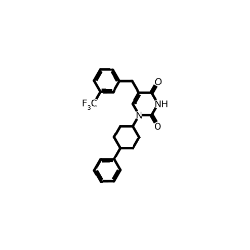 O=c1[nH]c(=O)n(C2CCC(c3ccccc3)CC2)cc1Cc1cccc(C(F)(F)F)c1